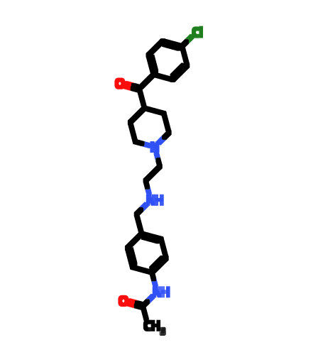 CC(=O)Nc1ccc(CNCCN2CCC(C(=O)c3ccc(Cl)cc3)CC2)cc1